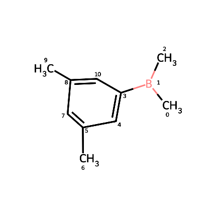 CB(C)c1cc(C)cc(C)c1